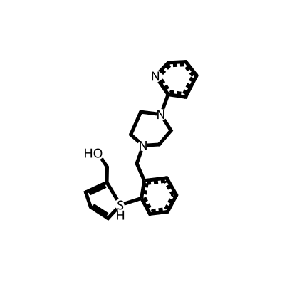 OCC1=CC=C[SH]1c1ccccc1CN1CCN(c2ccccn2)CC1